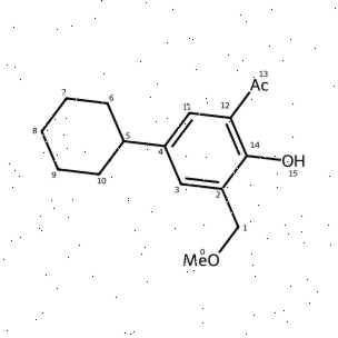 COCc1cc(C2CCCCC2)cc(C(C)=O)c1O